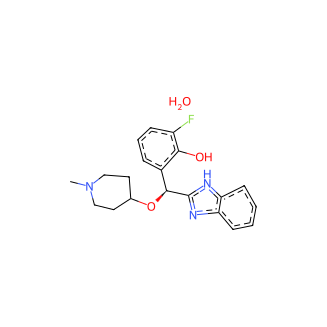 CN1CCC(O[C@H](c2nc3ccccc3[nH]2)c2cccc(F)c2O)CC1.O